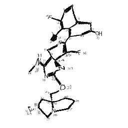 C#Cc1c(F)ccc2cc(O)cc(-c3ncc4c(NC)nc(OC[C@@]56CCCN5C[C@H](F)C6)nc4c3F)c12